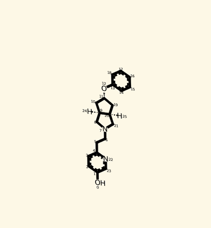 Oc1ccc(CCN2C[C@H]3C[C@H](Oc4ccccc4)C[C@H]3C2)nc1